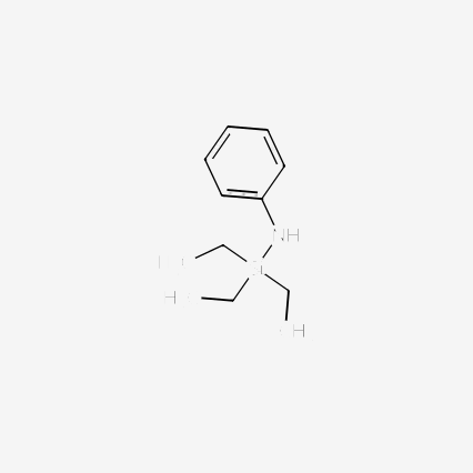 CC[Si](CC)(CC)Nc1ccccc1